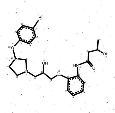 CC(O)CC(=O)Nc1ccccc1OCC(O)CN1CCC(Oc2ccc(Cl)cc2)C1